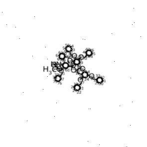 CS(=O)(=O)Nc1ccc(C(=O)O[C@@H]2Cc3c(OCc4ccccc4)cc(OCc4ccccc4)cc3O[C@H]2c2cc(OCc3ccccc3)c(OCc3ccccc3)c(OCc3ccccc3)c2)cc1OCc1ccccc1